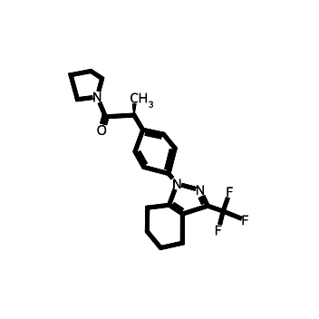 C[C@H](C(=O)N1CCCC1)c1ccc(-n2nc(C(F)(F)F)c3c2CCCC3)cc1